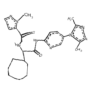 Cc1nnc(C)n1-c1ccc(NC(=O)C(NC(=O)c2ccnn2C)C2CCCCCC2)nc1